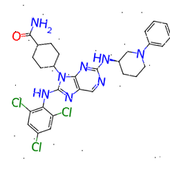 NC(=O)C1CCC(n2c(Nc3c(Cl)cc(Cl)cc3Cl)nc3cnc(N[C@@H]4CCCN(c5ccccc5)C4)nc32)CC1